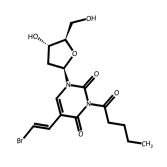 CCCCC(=O)n1c(=O)c(C=CBr)cn([C@H]2C[C@H](O)[C@@H](CO)O2)c1=O